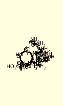 CC(C)[C@H](NC(=O)C1CCC(=O)NCCC(=O)NCCCCC(NC(=O)[C@H](CN)NC(=O)C(Cc2ccc(O)cc2)NC(=O)[C@H](CC(N)=O)NC(=O)[C@H](CN)NC(=O)[C@@H](N)CSSC(N)C(=O)CC(N)=O)C(=O)NC([C@@H](C)O)C(=O)N1)C(=O)O